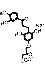 COc1ccc(C(=O)CCc2c(O)cc(OCC(=O)CC(=O)[O-])cc2O)cc1O.[Na+]